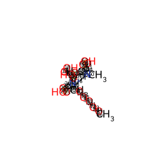 CCN1/C(=C/C=C/C=C/C2=[N+](CCCCCC(=O)O)c3ccc(S(=O)(=O)O)cc3C2(C)CCOCCOCCOCCOCCOC)C(C)(CCCS(=O)(=O)O)c2cc(S(=O)(=O)O)ccc21